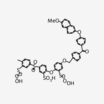 COc1ccc2cc(Oc3ccc(C(=O)c4ccc(COc5ccc(Oc6ccc(S(=O)(=O)c7ccc(C)c(SOOO)c7)cc6S(=O)(=O)O)c(SOOO)c5)cc4)cc3)ccc2c1